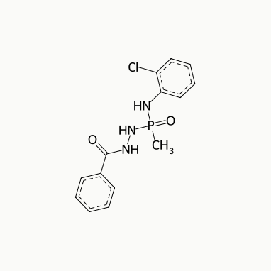 CP(=O)(NNC(=O)c1ccccc1)Nc1ccccc1Cl